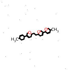 CC1C=CC(C2=CCC(CCC3CC=C(C4C=CC(C)CO4)CO3)OC2)CC1